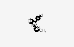 Cc1cccc(-c2nc3c(c(-c4ccc(Cl)cc4)n2)CCOC3)n1